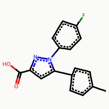 Cc1ccc(-c2cc(C(=O)O)nn2-c2ccc(F)cc2)cc1